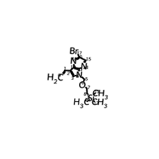 C=Cc1cn(COCC[Si](C)(C)C)c2ncc(Br)nc12